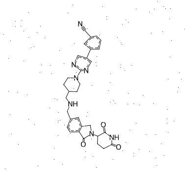 N#Cc1cccc(-c2cnc(N3CCC(CNCc4ccc5c(c4)CN(C4CCC(=O)NC4=O)C5=O)CC3)nc2)c1